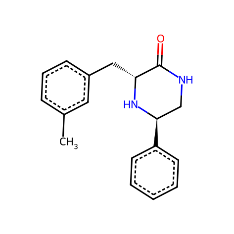 Cc1cccc(C[C@H]2N[C@H](c3ccccc3)CNC2=O)c1